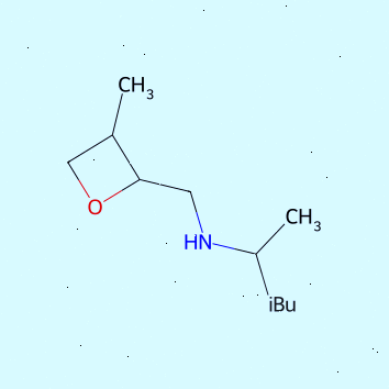 CCC(C)C(C)NCC1OCC1C